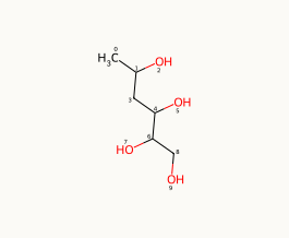 CC(O)CC(O)C(O)CO